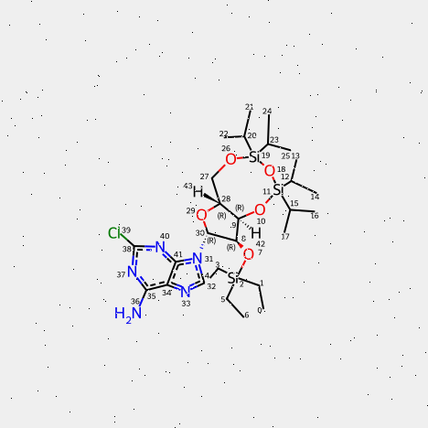 CC[Si](CC)(CC)O[C@@H]1[C@@H]2O[Si](C(C)C)(C(C)C)O[Si](C(C)C)(C(C)C)OC[C@H]2O[C@H]1n1cnc2c(N)nc(Cl)nc21